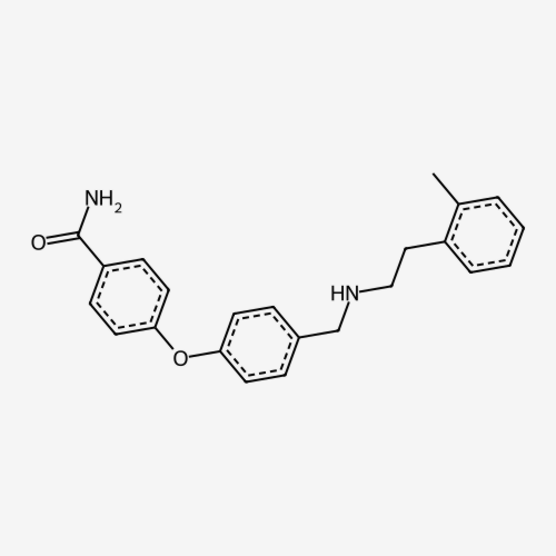 Cc1ccccc1CCNCc1ccc(Oc2ccc(C(N)=O)cc2)cc1